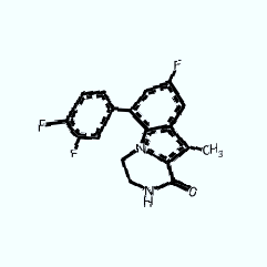 Cc1c2n(c3c(-c4ccc(F)c(F)c4)cc(F)cc13)CCNC2=O